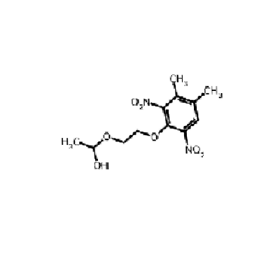 Cc1cc([N+](=O)[O-])c(OCCOC(C)O)c([N+](=O)[O-])c1C